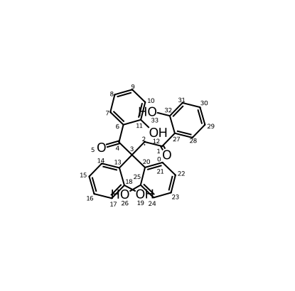 O=C([CH]C(C(=O)c1ccccc1O)(c1ccccc1O)c1ccccc1O)c1ccccc1O